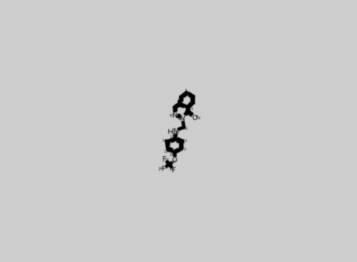 O=c1c2ccccc2cnn1CNc1ccc(OC(F)(F)F)cc1